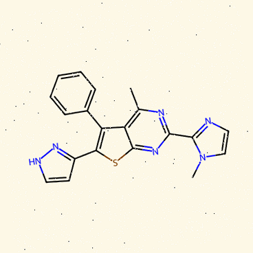 Cc1nc(-c2nccn2C)nc2sc(-c3cc[nH]n3)c(-c3ccccc3)c12